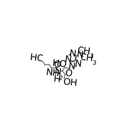 C#CCCC(N)C(=O)NC1C(CO)OC(n2cnc3c(N(C)C)ncnc32)C1O